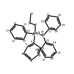 CCC[PH](c1ccccc1)(c1ccccc1)P(c1ccccc1)c1ccccc1